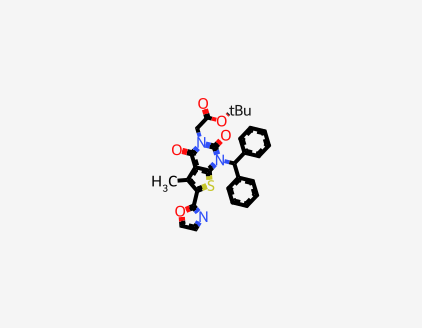 Cc1c(-c2ncco2)sc2c1c(=O)n(CC(=O)OC(C)(C)C)c(=O)n2C(c1ccccc1)c1ccccc1